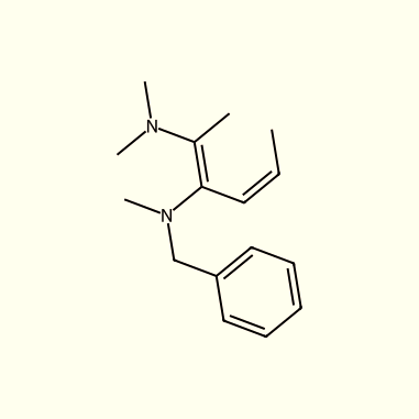 C/C=C\C(=C(/C)N(C)C)N(C)Cc1ccccc1